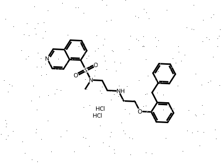 CN(CCNCCOc1ccccc1Cc1ccccc1)S(=O)(=O)c1cccc2cnccc12.Cl.Cl